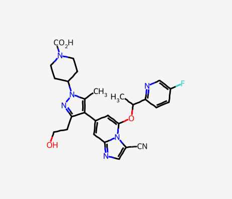 Cc1c(-c2cc(OC(C)c3ccc(F)cn3)n3c(C#N)cnc3c2)c(CCO)nn1C1CCN(C(=O)O)CC1